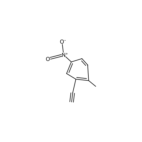 C#Cc1cc([N+](=O)[O-])ccc1C